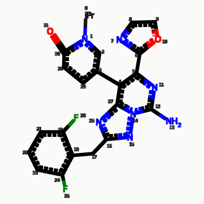 CC(C)n1cc(-c2c(-c3ncco3)nc(N)n3nc(Cc4c(F)cccc4F)nc23)ccc1=O